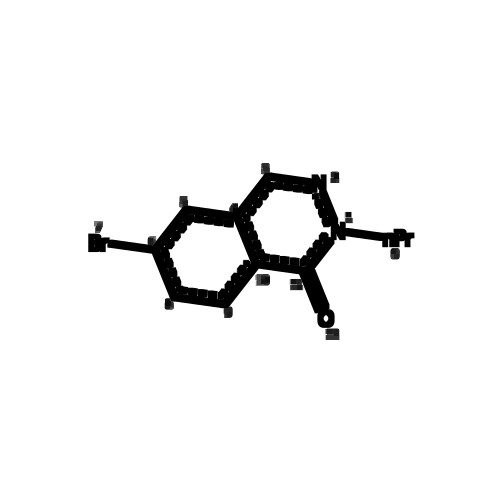 CCCn1ncc2cc(Br)ccc2c1=O